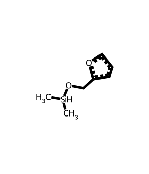 C[SiH](C)OCc1ccco1